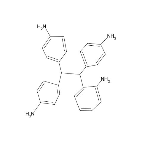 Nc1ccc(C(c2ccc(N)cc2)C(c2ccc(N)cc2)c2ccccc2N)cc1